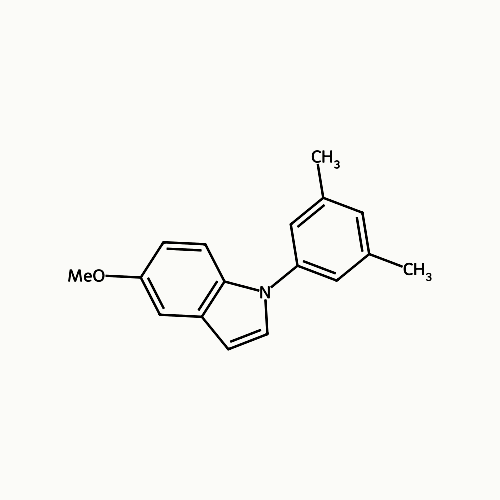 COc1ccc2c(ccn2-c2cc(C)cc(C)c2)c1